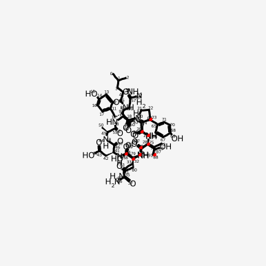 CC(C)C[C@H](N)C(=O)N[C@@H](Cc1ccc(O)cc1)C(=O)N1CCC[C@H]1C(=O)N[C@H](C(=O)N[C@@H](CCC(N)=O)C(=O)N[C@@H](CC(=O)O)C(=O)N[C@@H](C)C(=O)N[C@@H](CCC(N)=O)C(=O)N[C@@H](Cc1ccc(O)cc1)C(=O)N[C@H](C(=O)N[C@@H](CC(N)=O)C(=O)O)[C@@H](C)O)C(C)C